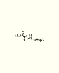 CCCCCCCCNCCNC(=O)C(C)(C)C